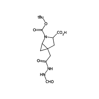 CC(C)(C)OC(=O)N1C(C(=O)O)CC2(CC(=O)NNC=O)CC12